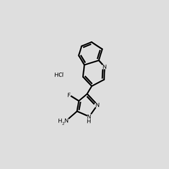 Cl.Nc1[nH]nc(-c2cnc3ccccc3c2)c1F